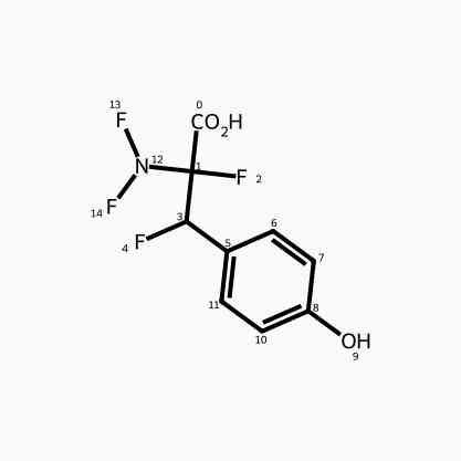 O=C(O)C(F)(C(F)c1ccc(O)cc1)N(F)F